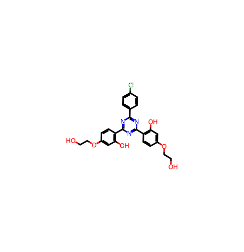 OCCOc1ccc(-c2nc(-c3ccc(Cl)cc3)nc(-c3ccc(OCCO)cc3O)n2)c(O)c1